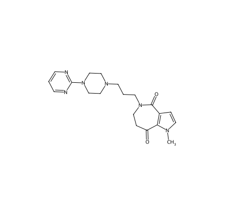 Cn1ccc2c1C(=O)CCN(CCCN1CCN(c3ncccn3)CC1)C2=O